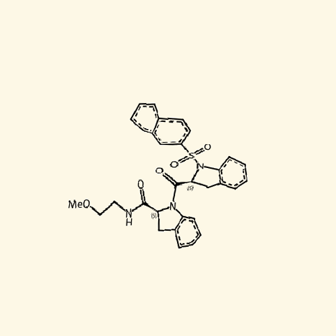 COCCNC(=O)[C@@H]1Cc2ccccc2N1C(=O)[C@@H]1Cc2ccccc2N1S(=O)(=O)c1ccc2ccccc2c1